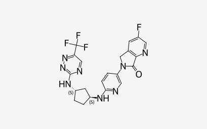 O=C1c2ncc(F)cc2CN1c1ccc(N[C@H]2CC[C@H](Nc3ncc(C(F)(F)F)nn3)C2)nc1